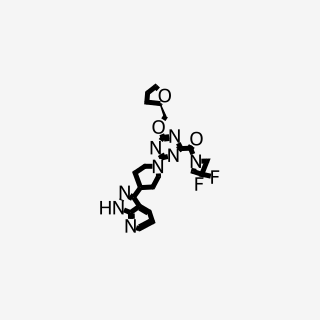 O=C(c1nc(OC[C@H]2CCCO2)nc(N2CCC(c3n[nH]c4ncccc34)CC2)n1)N1CC(F)(F)C1